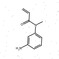 C=CC(=O)N(C)c1cccc(N)c1